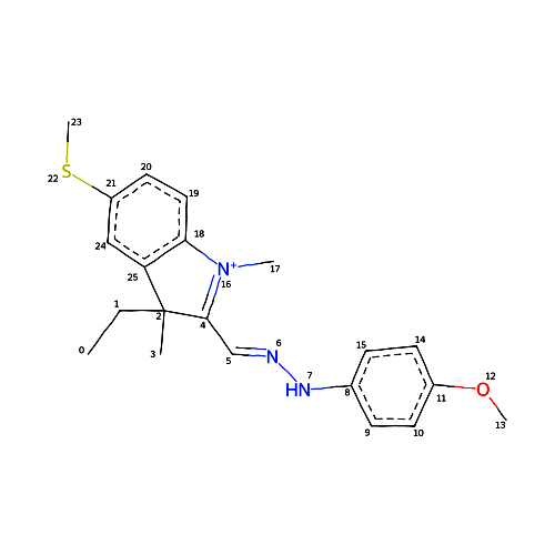 CCC1(C)C(/C=N/Nc2ccc(OC)cc2)=[N+](C)c2ccc(SC)cc21